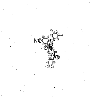 Cc1cc(C)cc(Sc2ccc(C#N)cc2S(=O)(=O)N2CCN(C(=O)c3ccccc3)CC2)c1